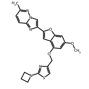 COc1cc(OCc2csc(N3CCC3)n2)c2cc(-c3cn4nc(C)ccc4n3)oc2c1